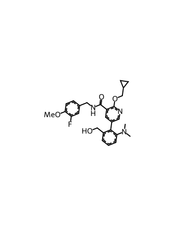 COc1ccc(CNC(=O)c2cc(-c3c(CO)cccc3N(C)C)cnc2OCC2CC2)cc1F